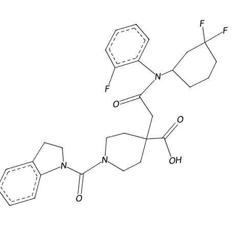 O=C(N1CCC(CC(=O)N(c2ccccc2F)C2CCCC(F)(F)C2)(C(=O)O)CC1)N1CCc2ccccc21